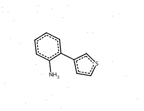 Nc1ccccc1-c1[c]scc1